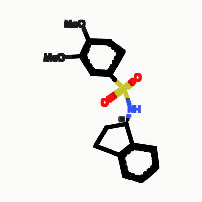 COc1ccc(S(=O)(=O)N[C@H]2CCc3ccccc32)cc1OC